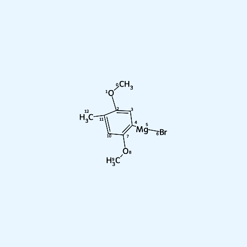 COc1c[c]([Mg][Br])c(OC)cc1C